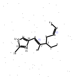 CCC(C/C=C\I)/C(C)=C/c1csc(C)n1